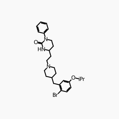 CC(C)Oc1ccc(Br)c(CC2CCN(CCC3CCN(c4ccccc4)C(=O)N3)CC2)c1